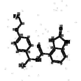 CC(NC(=O)c1cccc2[nH]c(=O)[nH]c12)c1ccc(OCC(F)(F)F)nc1